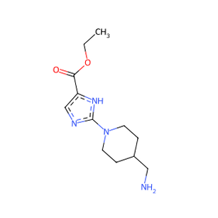 CCOC(=O)c1cnc(N2CCC(CN)CC2)[nH]1